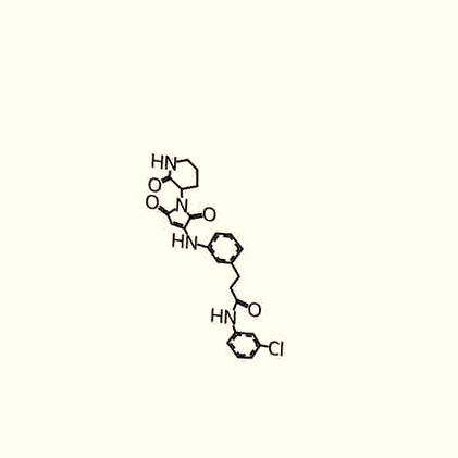 O=C(CCc1cccc(NC2=CC(=O)N(C3CCCNC3=O)C2=O)c1)Nc1cccc(Cl)c1